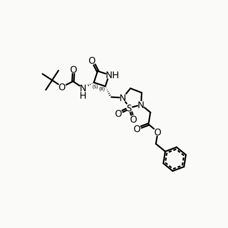 CC(C)(C)OC(=O)N[C@@H]1C(=O)N[C@@H]1CN1CCN(CC(=O)OCc2ccccc2)S1(=O)=O